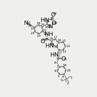 CC(C)(C)c1ccc(CC(=O)Nc2cccc3cc(C(=O)Nc4ccc(C#N)cc4-c4noc(=O)[nH]4)[nH]c23)cc1